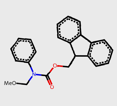 COCN(C(=O)OCC1c2ccccc2-c2ccccc21)c1ccccc1